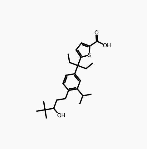 CCC(CC)(c1ccc(CCC(O)C(C)(C)C)c(C(C)C)c1)c1ccc(C(=O)O)s1